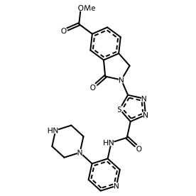 COC(=O)c1ccc2c(c1)C(=O)N(c1nnc(C(=O)Nc3cnccc3N3CCNCC3)s1)C2